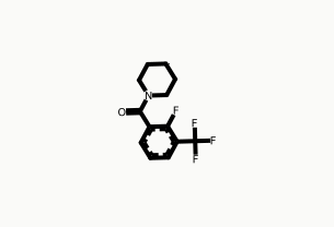 O=C(c1cccc(C(F)(F)F)c1F)N1CC[CH]CC1